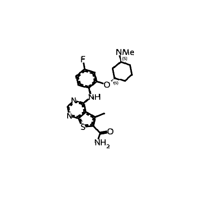 CN[C@H]1CCC[C@H](Oc2cc(F)ccc2Nc2ncnc3sc(C(N)=O)c(C)c23)C1